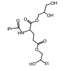 CCC(O)COC(=O)CCC(NC(=O)C(C)C)C(=O)OCC(O)CO